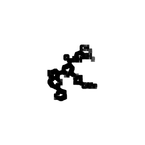 COC1CN(c2cc(C(=O)NC[C@H](C)N)cc(-c3cnn4ccc(-c5cccs5)nc34)n2)C1